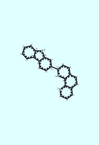 c1cnc2c(c1)ccc1ccc(-c3ccc4c(c3)sc3ccccc34)nc12